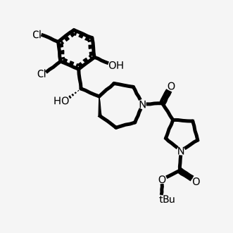 CC(C)(C)OC(=O)N1CCC(C(=O)N2CCC[C@@H]([C@H](O)c3c(O)ccc(Cl)c3Cl)CC2)C1